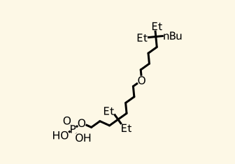 CCCCC(CC)(CC)CCCCOCCCCC(CC)(CC)CCCOP(=O)(O)O